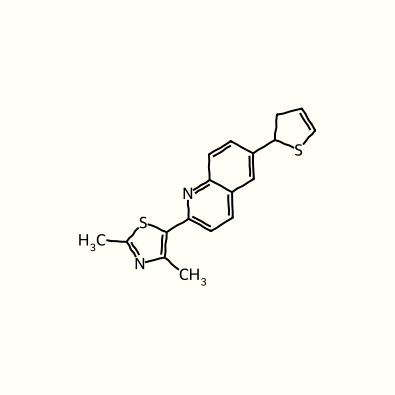 Cc1nc(C)c(-c2ccc3cc(C4CC=CS4)ccc3n2)s1